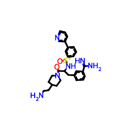 N=C(N)c1cccc(CC(N[S+]([O-])c2cccc(-c3cccnc3)c2)C(=O)N2CCC(CCN)CC2)c1